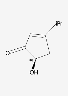 CC(C)C1=CC(=O)[C@H](O)C1